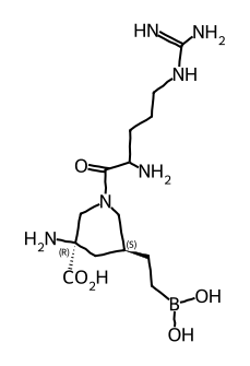 N=C(N)NCCCC(N)C(=O)N1C[C@@H](CCB(O)O)C[C@](N)(C(=O)O)C1